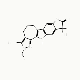 CCn1nc2c(c1C)CCCc1c-2[nH]c2cc3c(cc12)NC(=O)C3(C)C